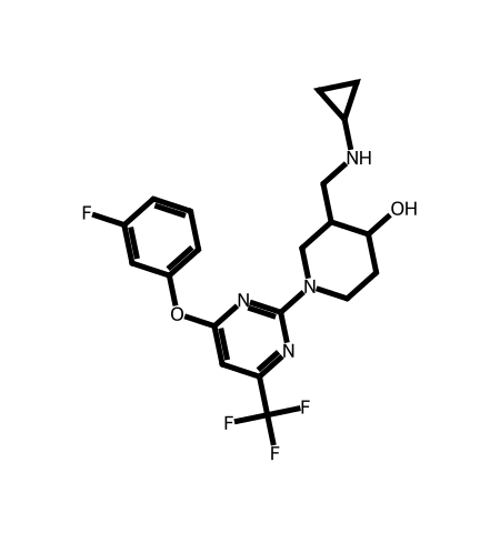 OC1CCN(c2nc(Oc3cccc(F)c3)cc(C(F)(F)F)n2)CC1CNC1CC1